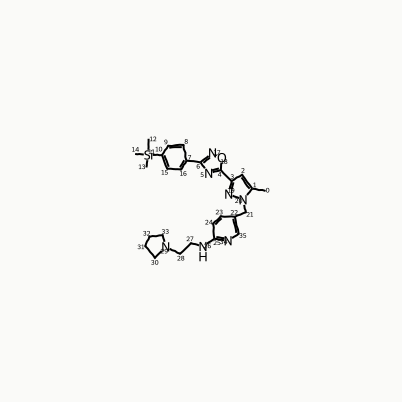 Cc1cc(-c2nc(-c3ccc([Si](C)(C)C)cc3)no2)nn1Cc1ccc(NCCN2CCCC2)nc1